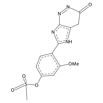 COc1cc(OS(C)(=O)=O)ccc1-c1nc2c([nH]1)CC(=O)N=N2